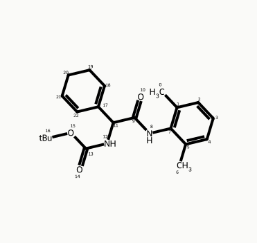 Cc1cccc(C)c1NC(=O)C(NC(=O)OC(C)(C)C)C1=CCCC=C1